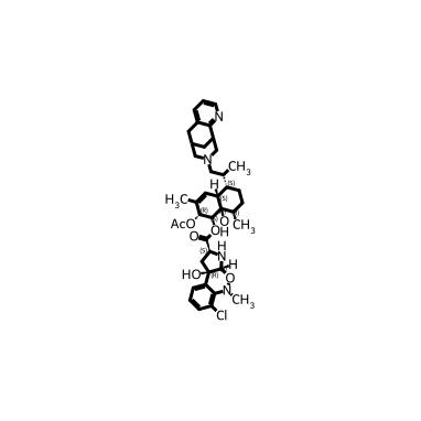 CC(=O)O[C@@H]1C(C)=C[C@@H]2[C@H](C(C)CN3CC4Cc5cccnc5C(C4)C3)CC[C@@H](C)[C@]2(O)[C@H]1OC(=O)[C@@H]1C[C@@]2(O)c3cccc(Cl)c3N(C)O[C@H]2N1